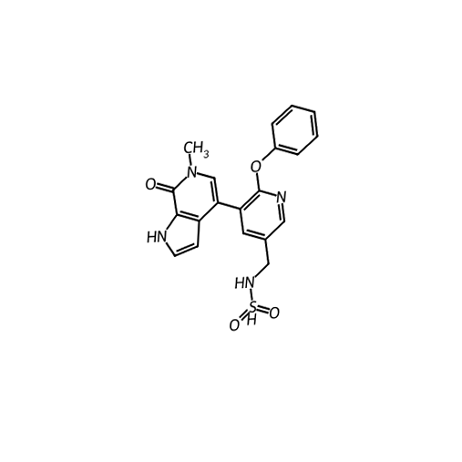 Cn1cc(-c2cc(CN[SH](=O)=O)cnc2Oc2ccccc2)c2cc[nH]c2c1=O